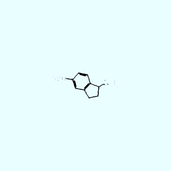 CCCCc1ccc2c(c1)CCC2N